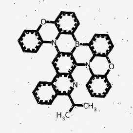 CC(C)c1nc2c3c4c(cc2c2ccccc12)N1c2ccccc2Oc2cccc(c21)B4c1cccc2c1N3c1ccccc1O2